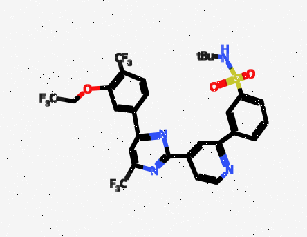 CC(C)(C)NS(=O)(=O)c1cccc(-c2cc(-c3nc(-c4ccc(C(F)(F)F)c(OCC(F)(F)F)c4)cc(C(F)(F)F)n3)ccn2)c1